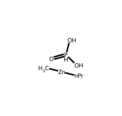 CC[CH2][Zn][CH3].O=[PH](O)O